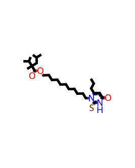 CCCc1cc(=O)[nH]c(=S)n1CCCCCCCCCCCOC(=O)C(C)(CC(C)C)C(C)C